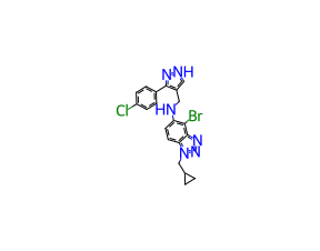 Clc1ccc(-c2n[nH]cc2CNc2ccc3c(nnn3CC3CC3)c2Br)cc1